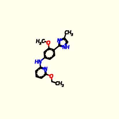 CCOc1cccc(Nc2ccc(-c3nc(C)c[nH]3)c(OC)c2)n1